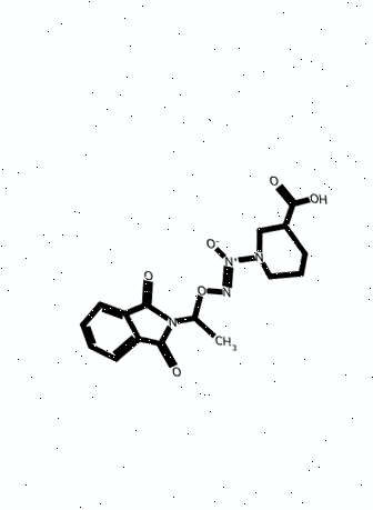 CC(O/N=[N+](\[O-])N1CCCC(C(=O)O)C1)N1C(=O)c2ccccc2C1=O